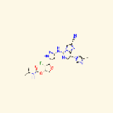 Cc1cn(-c2cnc(Nc3cc([C@@H]4OC[C@H](OC(=O)NC(C)C)[C@@H]4F)[nH]n3)n3cc(C#N)nc23)cn1